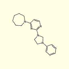 c1ccc(N2CCN(c3nccc(N4CCCCCC4)n3)C2)cc1